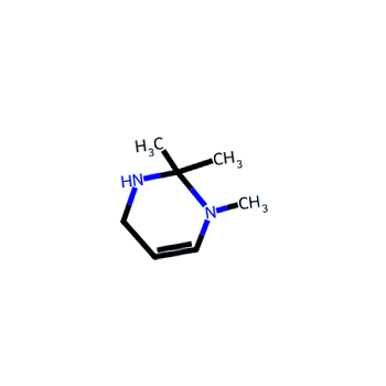 CN1C=CCNC1(C)C